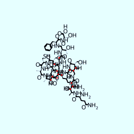 CC(C)C[C@H](NC(=O)[C@H](CO)NC(=O)CNC(=O)CNC(=O)[C@H](C)NC(=O)[C@@H](N)CCC(N)=O)C(=O)N[C@@H](CCCNC(=N)N)C(=O)N[C@@H](CC(C)C)C(=O)N[C@@H](CO)C(=O)N[C@@H](CS)C(=O)N[C@@H](C)C(=O)N[C@@H](C)C(=O)N[C@@H](CO)C(=O)NCC(=O)NCC(=O)N[C@H](C(=O)N[C@@H](Cc1ccccc1)C(=O)N[C@@H](CO)C(=O)O)[C@@H](C)O